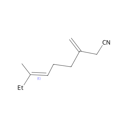 C=C(CC#N)CC/C=C(\C)CC